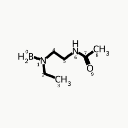 BN(CC)CCNC(C)=O